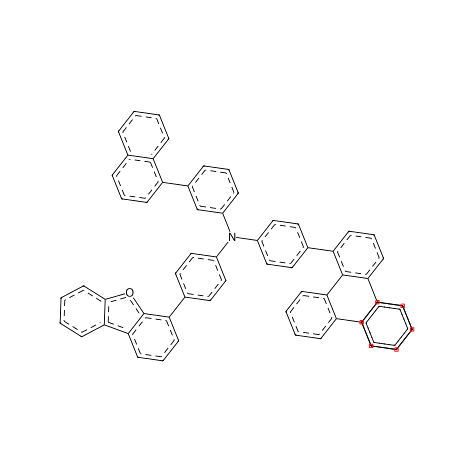 c1ccc(-c2ccccc2-c2c(-c3ccccc3)cccc2-c2ccc(N(c3ccc(-c4cccc5c4oc4ccccc45)cc3)c3cccc(-c4cccc5ccccc45)c3)cc2)cc1